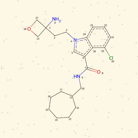 NC1(CCn2cc(C(=O)NCC3CCCCCC3)c3c(Cl)cccc32)COC1